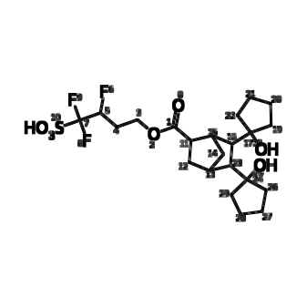 O=C(OCCC(F)C(F)(F)S(=O)(=O)O)C1CC2CC1C(C1(O)CCCC1)C2C1(O)CCCC1